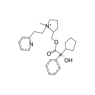 C[N+]1(CCc2ccccn2)CCCC1COC(=O)[C@](O)(c1ccccc1)C1CCCC1